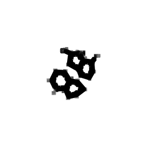 Fc1cccc2cc(Cl)[nH]c12.c1ccc2ncccc2c1